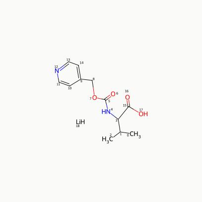 CC(C)C(NC(=O)OCc1ccncc1)C(=O)O.[LiH]